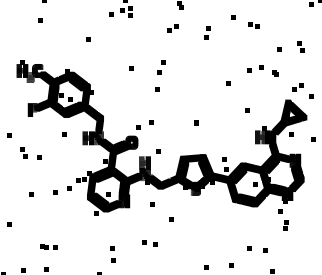 Cc1ccc(CNC(=O)c2cccnc2NCc2ccc(-c3ccc4ncnc(NC5CC5)c4c3)s2)cc1F